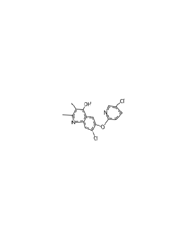 Cc1nc2cc(Cl)c(Oc3ccc(Cl)cn3)cc2c(O)c1C